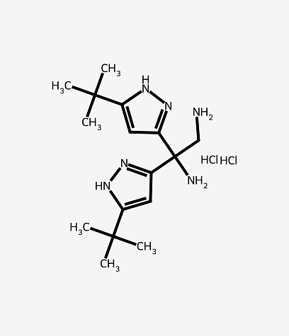 CC(C)(C)c1cc(C(N)(CN)c2cc(C(C)(C)C)[nH]n2)n[nH]1.Cl.Cl